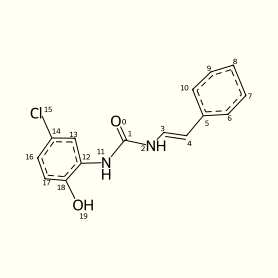 O=C(NC=Cc1ccccc1)Nc1cc(Cl)ccc1O